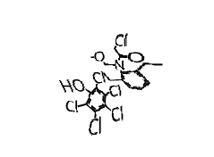 CCc1cccc(CC)c1N(COC)C(=O)CCl.Oc1c(Cl)c(Cl)c(Cl)c(Cl)c1Cl